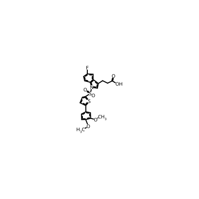 COc1ccc(-c2ccc(S(=O)(=O)n3cc(CCC(=O)O)c4cc(F)ccc43)s2)cc1OC